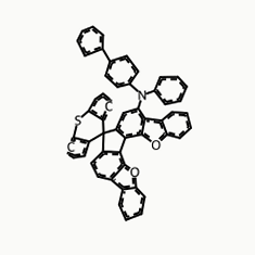 c1ccc(-c2ccc(N(c3ccccc3)c3cc4c(c5oc6ccccc6c35)-c3c(ccc5c3oc3ccccc35)C43c4ccccc4Sc4ccccc43)cc2)cc1